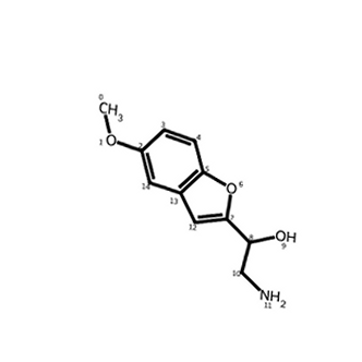 COc1ccc2oc(C(O)CN)cc2c1